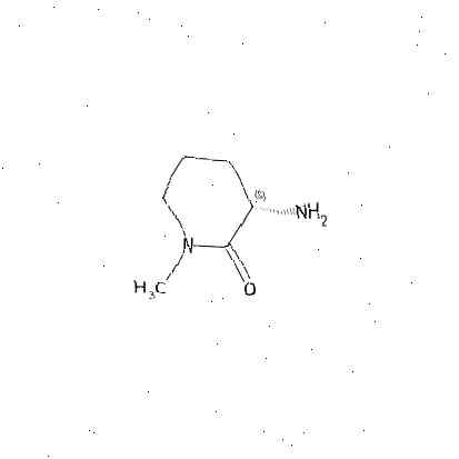 CN1CCC[C@H](N)C1=O